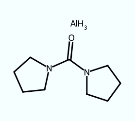 O=C(N1CCCC1)N1CCCC1.[AlH3]